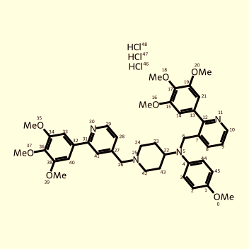 COc1ccc(N(Cc2cccnc2-c2cc(OC)c(OC)c(OC)c2)C2CCN(Cc3ccnc(-c4cc(OC)c(OC)c(OC)c4)c3)CC2)cc1.Cl.Cl.Cl